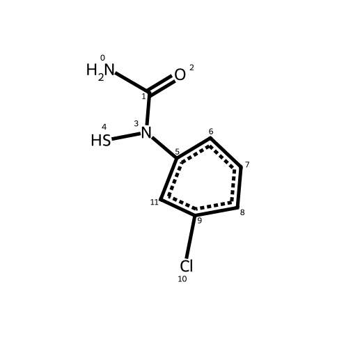 NC(=O)N(S)c1cccc(Cl)c1